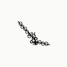 CCCOCCOCCOCCOCCNC(=O)CCC(=O)N1Cc2ccccc2-c2nnn(CCOCCOCCOCCC)c2-c2ccccc21